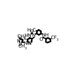 Cc1cc(Nc2ncc3c(c2C)NC(=O)N(c2cc(NC(=O)c4cccc(C(F)(F)F)c4)ccc2C)C3)n(C)n1